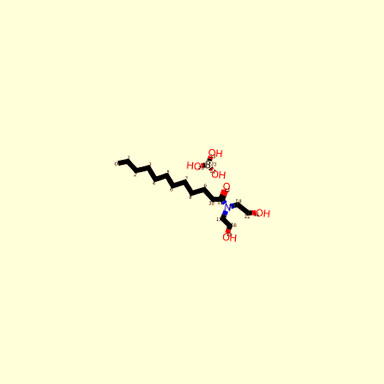 CCCCCCCCCCCC(=O)N(CCO)CCO.OB(O)O